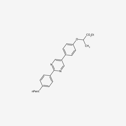 CCCCCc1ccc(-c2ncc(-c3ccc(OC(C)C(=O)OCC)cc3)cn2)cc1